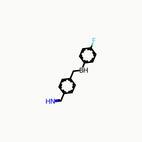 N=Cc1ccc(CBc2ccc(F)cc2)cc1